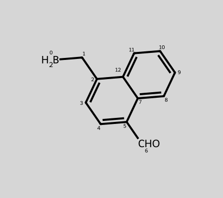 BCc1ccc(C=O)c2ccccc12